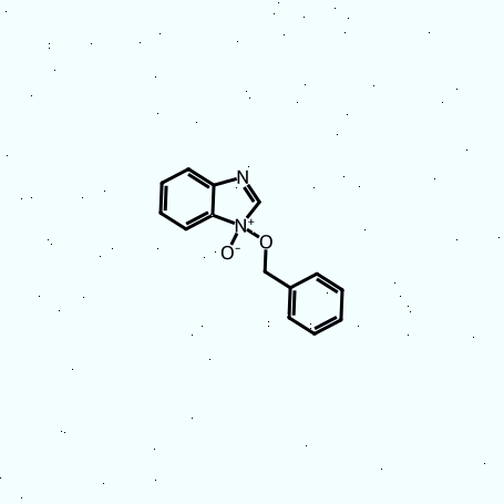 [O-][N+]1(OCc2ccccc2)C=Nc2ccccc21